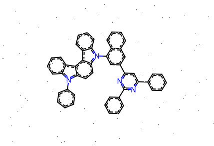 c1ccc(-c2cc(-c3cc(-n4c5ccccc5c5c6c7ccccc7n(-c7ccccc7)c6ccc54)c4ccccc4c3)nc(-c3ccccc3)n2)cc1